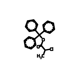 CC(Cl)C(=O)OC(c1ccccc1)(c1ccccc1)c1ccccc1